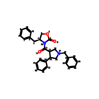 O=C1OC[C@H](Cc2ccccc2)N1C(=O)C1CN(Cc2ccccc2)CC1c1ccccc1